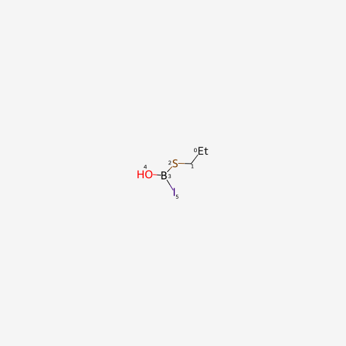 CCCSB(O)I